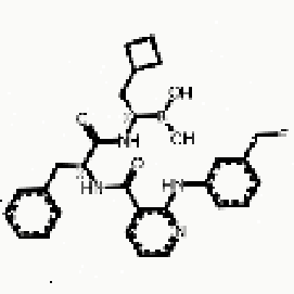 O=C(N[C@@H](Cc1ccccc1)C(=O)N[C@@H](CC1CCC1)B(O)O)c1cccnc1Nc1cccc(CF)c1